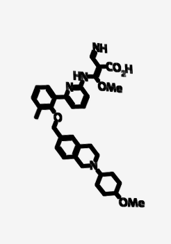 CO/C(Nc1cccc(-c2cccc(C)c2OCc2ccc3c(c2)CCN(C2CCC(OC)CC2)C3)n1)=C(/C=N)C(=O)O